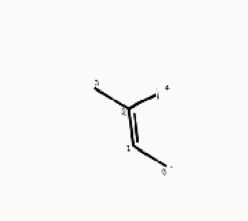 [CH2]C=C(C)I